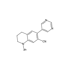 CC(C)N1CCCc2cc(-c3cncnc3)c(C#N)cc21